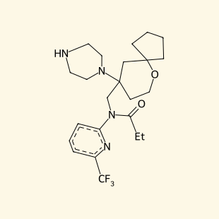 CCC(=O)N(CC1(N2CCNCC2)CCOC2(CCCC2)C1)c1cccc(C(F)(F)F)n1